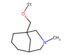 CCOCC12CCCC(CN(C)C1)C2